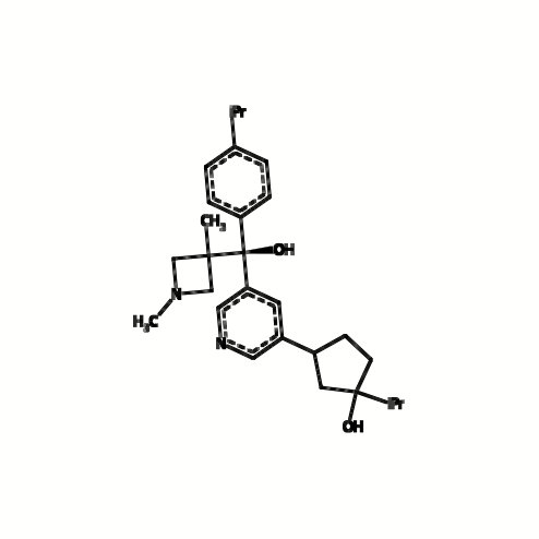 CC(C)c1ccc([C@](O)(c2cncc(C3CCC(O)(C(C)C)C3)c2)C2(C)CN(C)C2)cc1